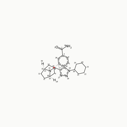 NC(=O)c1cccc([C@@H]2C[C@H]3CC[C@@H](C2)N3Cc2cn(C3CCCCC3)nn2)c1